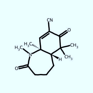 CN1C(=O)CCC[C@H]2C(C)(C)C(=O)C(C#N)=C[C@@]21C